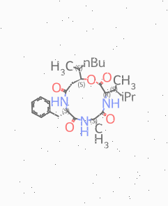 CCCC[C@H](C)[C@@H]1CC(=O)N[C@@H](Cc2ccccc2)C(=O)N[C@@H](C)C(=O)N[C@H]([C@@H](C)C(C)C)C(=O)O1